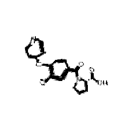 O=C(O)[C@@H]1CCCN1C(=O)c1ccc(Oc2ccncc2)c(Cl)c1